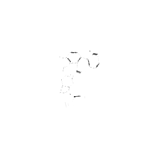 Cc1ccc(-c2ccccn2)c(C(=O)N2CCC3CN(C(=O)O)C3C2)c1F